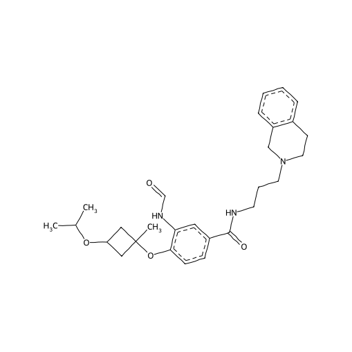 CC(C)OC1CC(C)(Oc2ccc(C(=O)NCCCN3CCc4ccccc4C3)cc2NC=O)C1